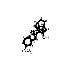 O=[N+]([O-])c1ccc2nn(-c3c(O)c4c5c(O)c3C3CCC54C3)cc2c1